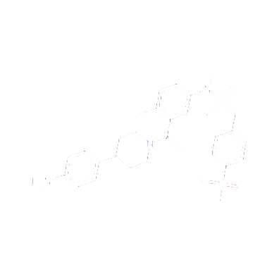 Cc1ccc(NS(=O)(=O)Cc2ccc(S(C)(=O)=O)cc2)cc1C(=O)N1CCC(c2ccc(N)cc2)CC1